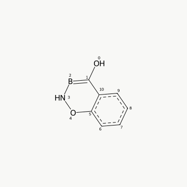 OC1=BNOc2ccccc21